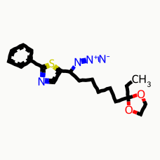 CCC1(CCCCCC(N=[N+]=[N-])c2cnc(-c3ccccc3)s2)OCCO1